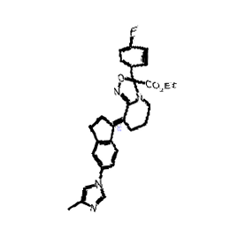 CCOC(=O)C1(c2ccc(F)cc2)ON=C2/C(=C3\CCc4cc(-n5cnc(C)c5)ccc43)CCCN21